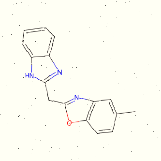 Cc1ccc2oc(Cc3nc4ccccc4[nH]3)nc2c1